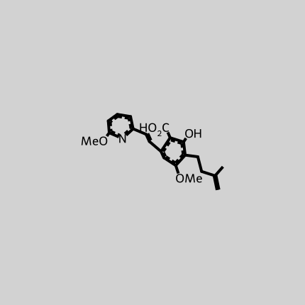 C=C(C)CCc1c(OC)cc(C=Cc2cccc(OC)n2)c(C(=O)O)c1O